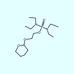 CCN(CC)P(=O)(OCCOC1CCCCO1)N(CC)CC